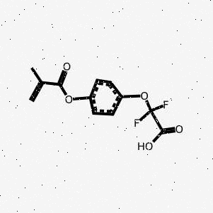 C=C(C)C(=O)Oc1ccc(OC(F)(F)C(=O)O)cc1